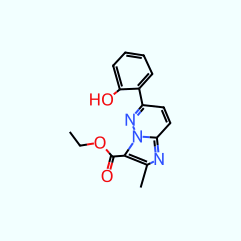 CCOC(=O)c1c(C)nc2ccc(-c3ccccc3O)nn12